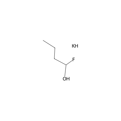 CCCC(O)F.[KH]